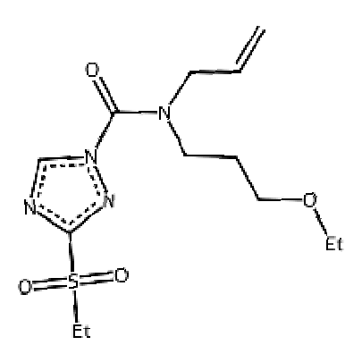 C=CCN(CCCOCC)C(=O)n1cnc(S(=O)(=O)CC)n1